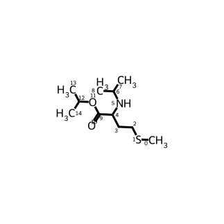 CSCCC(NC(C)C)C(=O)OC(C)C